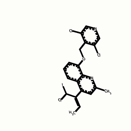 C/C=C(/c1cc(C)nc2c(OCc3c(Cl)cncc3Cl)cccc12)C(Cl)I